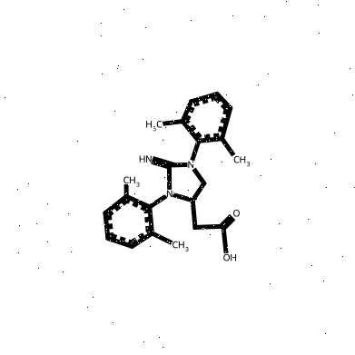 Cc1cccc(C)c1N1CC(CC(=O)O)N(c2c(C)cccc2C)C1=N